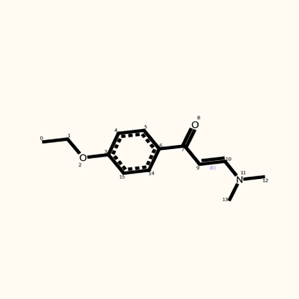 CCOc1ccc(C(=O)/C=C/N(C)C)cc1